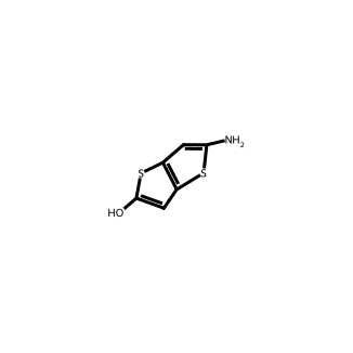 Nc1cc2sc(O)cc2s1